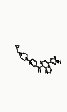 c1cn2c(-c3cn[nH]c3)cnc(Nc3ccc(N4CCN(CC5CC5)CC4)nc3)c2n1